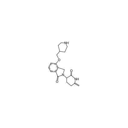 C=C1CCC(N2Cc3c(OCC4CCNCC4)cccc3C2=O)C(=O)N1